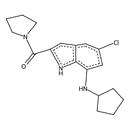 O=C(c1cc2cc(Cl)cc(NC3CCCC3)c2[nH]1)N1CCCC1